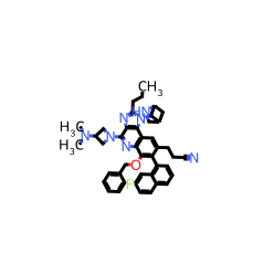 CCCc1nc2c(N3CC(N(C)C)C3)nc3c(OCc4ccccc4)c(-c4cccc5ccc(F)cc45)c(CCC#N)cc3c2n1C1C2CNC1C2